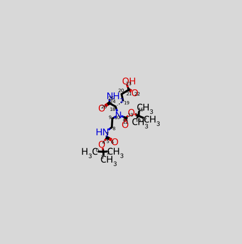 CC(C)(C)OC(=O)NCCN(C(=O)OC(C)(C)C)[C@@H](CCC(=O)O)C(N)=O